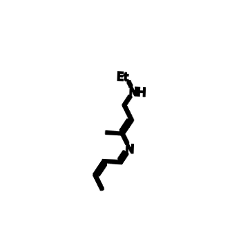 C\C=C/C=N\C(C)=C\CNCC